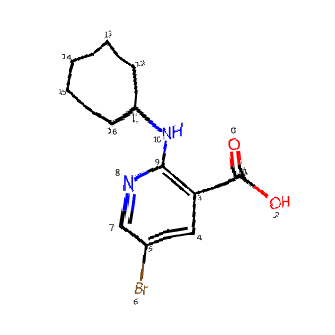 O=C(O)c1cc(Br)cnc1NC1CCCCC1